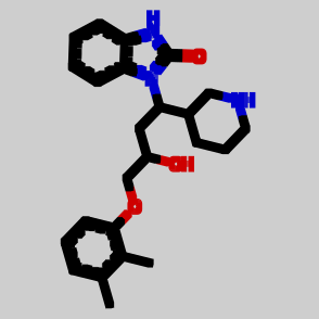 Cc1cccc(OCC(O)CC(C2CCCNC2)n2c(=O)[nH]c3ccccc32)c1C